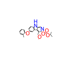 COCc1c(OC(=O)OC(C)C)ncc2[nH]c3ccc(Oc4ccccc4C)cc3c12